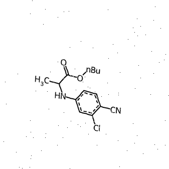 CCCCOC(=O)C(C)Nc1ccc(C#N)c(Cl)c1